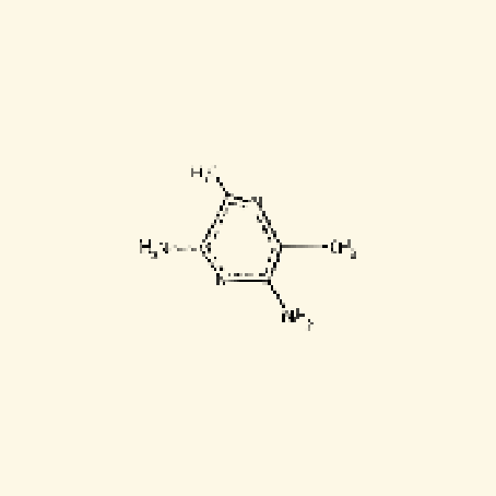 Cc1nc(C)c(N)nc1N